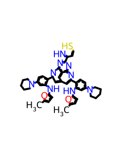 Cc1ccc(Nc2cc(N3CCCCC3)ccc2C2=CC3=CC(c4ccc(N5CCCCC5)cc4Nc4ccc(C)o4)=Nc4nc(C(=N)/C=C\S)nc(c4=C3)=N2)o1